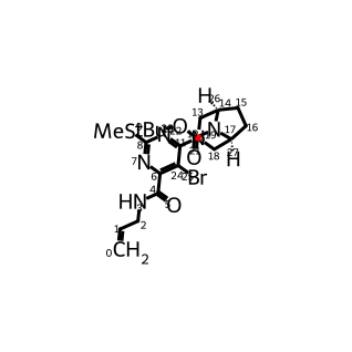 C=CCNC(=O)c1nc(SC)nc(N2C[C@H]3CC[C@@H](C2)N3C(=O)OC(C)(C)C)c1Br